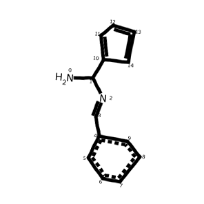 NC(/N=C/c1ccccc1)C1=CC=C=C1